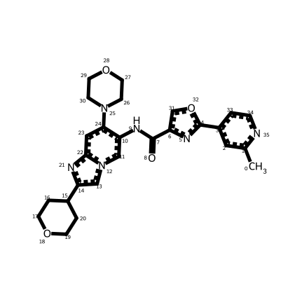 Cc1cc(-c2nc(C(=O)Nc3cn4cc(C5CCOCC5)nc4cc3N3CCOCC3)co2)ccn1